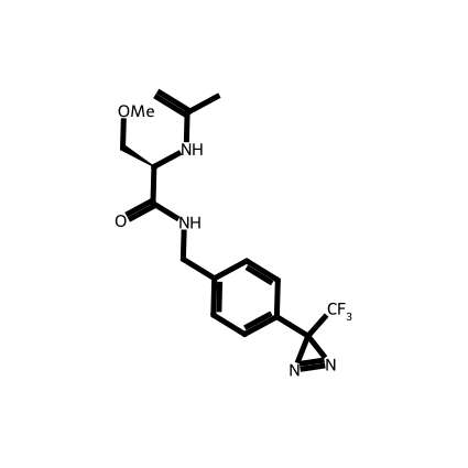 C=C(C)N[C@H](COC)C(=O)NCc1ccc(C2(C(F)(F)F)N=N2)cc1